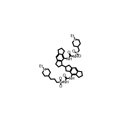 CCN1CCC(CCCS(=O)(=O)NC(=O)Nc2c3c(cc4c2CC(C2CCc5cc6c(c(NC(=O)NS(=O)(=O)CC7CCN(CC)CC7)c52)CCC6)C4)CCC3)CC1